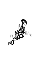 CC(C(=O)N1CCc2cc(F)ccc2C1)(c1ccccc1)n1ncc2c1nc(N)n1nc(-c3ccco3)nc21